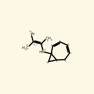 C/C(NC12C=CC=CCC1C2)=C(/C)C(C)C